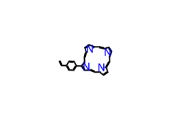 C=Cc1ccc(C2=CC3=CC4=NC(=CC5=NC(=CC6=NC(=CC2=N3)C=C6)C=C5)C=C4)cc1